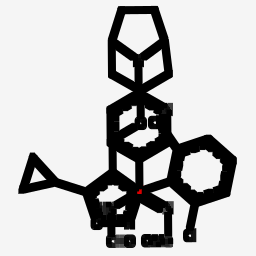 CO/N=C(\NC=O)c1ccc(N2C3CCC2CC(OCc2c(-c4c(Cl)cccc4Cl)noc2C2CC2)C3)nc1